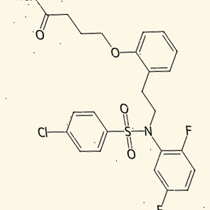 CNC(=O)CCCOc1ccccc1CCN(c1cc(F)ccc1F)S(=O)(=O)c1ccc(Cl)cc1